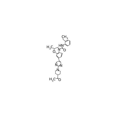 CCc1ccccc1NC(=O)N1CC(C)Oc2cc(-c3cnc(N4CCC(C(C)=O)CC4)nc3)ccc21